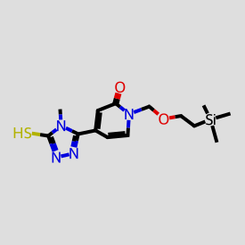 Cn1c(S)nnc1-c1ccn(COCC[Si](C)(C)C)c(=O)c1